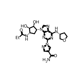 CCC(=O)N[C@H]1C[C@@H](n2cnc3c(N[C@@H]4CCOC4)nc(-n4cc(C(N)=O)cn4)nc32)[C@H](O)[C@@H]1O